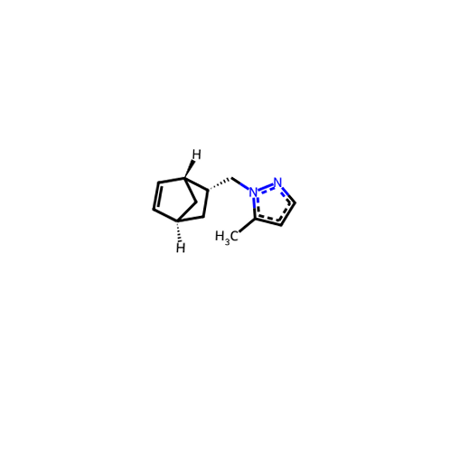 Cc1ccnn1C[C@@H]1C[C@H]2C=C[C@H]1C2